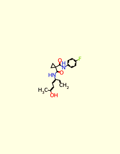 C=C/C(=C\C=C(/C)O)NC(=O)C1(C(=O)Nc2ccc(F)cc2)CC1